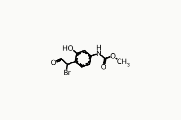 COC(=O)Nc1ccc(C(Br)C=O)c(O)c1